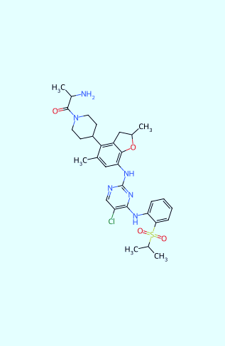 Cc1cc(Nc2ncc(Cl)c(Nc3ccccc3S(=O)(=O)C(C)C)n2)c2c(c1C1CCN(C(=O)C(C)N)CC1)CC(C)O2